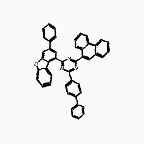 c1ccc(-c2ccc(-c3nc(-c4cc5ccccc5c5ccccc45)nc(-c4cc(-c5ccccc5)cc5oc6ccccc6c45)n3)cc2)cc1